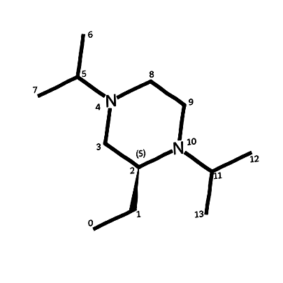 CC[C@H]1CN(C(C)C)CCN1C(C)C